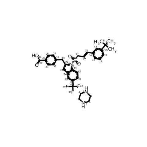 C1CNCCN1.CC(C)(C)c1cccc(C=CCS(=O)(=O)n2c(Cc3ccc(C(=O)O)cc3)cc3cc(C(F)(F)F)ccc32)c1